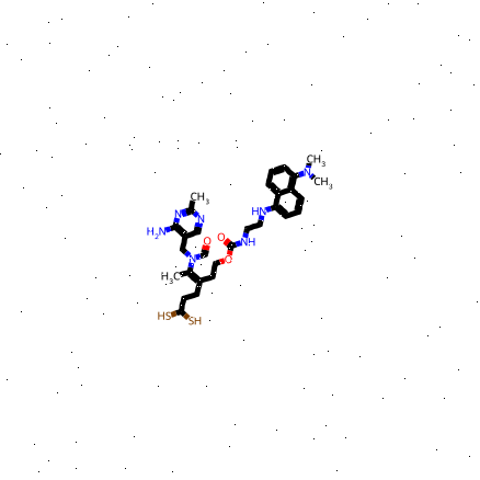 CC(=C(CCOC(=O)NCCNc1cccc2c(N(C)C)cccc12)CCC(S)S)N(C=O)Cc1cnc(C)nc1N